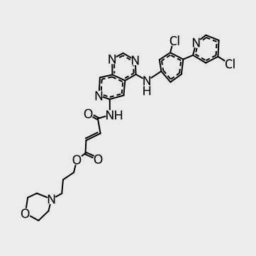 O=C(C=CC(=O)OCCCN1CCOCC1)Nc1cc2c(Nc3ccc(-c4cc(Cl)ccn4)c(Cl)c3)ncnc2cn1